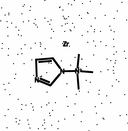 C[N+](C)(C)n1ccnc1.[Zr]